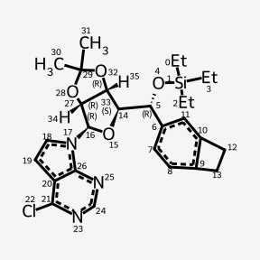 CC[Si](CC)(CC)O[C@H](c1ccc2c(c1)CC2)[C@H]1O[C@@H](n2ccc3c(Cl)ncnc32)[C@@H]2OC(C)(C)O[C@@H]21